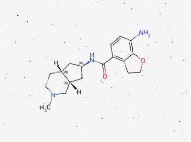 CN1CC[C@@H]2C[C@@H](NC(=O)c3ccc(N)c4c3CCO4)C[C@@H]2C1